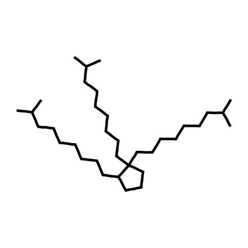 CC(C)CCCCCCCC1CCCC1(CCCCCCCC(C)C)CCCCCCCC(C)C